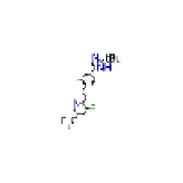 Cc1cc(-c2cnc(C(C)(C)C)[nH]2)ccc1CCc1ncc(C(F)(F)F)cc1F